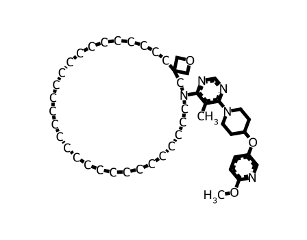 COc1ccc(OC2CCN(c3ncnc(N4CCCCCCCCCCCCCCCCCCCCCCCCCCCCC5(COC5)C4)c3C)CC2)cn1